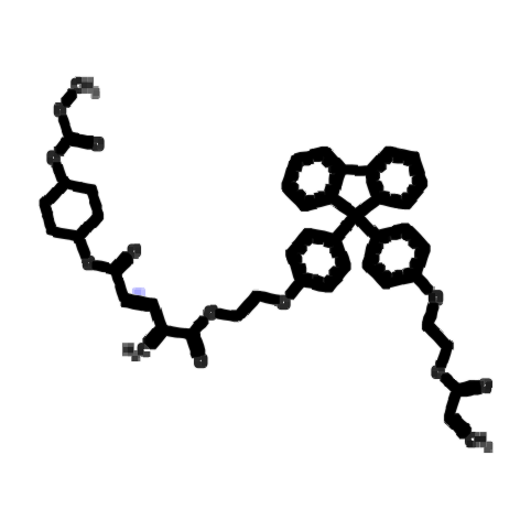 C=CC(=O)OCCOc1ccc(C2(c3ccc(OCCOC(=O)C(=C)/C=C/C(=O)OC4CCC(OC(=O)OC)CC4)cc3)c3ccccc3-c3ccccc32)cc1